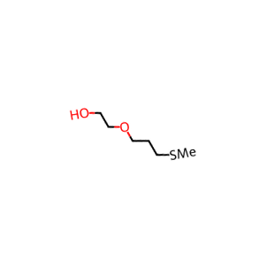 CSCCCOCCO